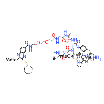 CC[C@H](C)[C@@H]([C@@H](CC(=O)N1CCC[C@H]1[C@H](OC)[C@@H](C)C(=O)N[C@H](CN)Cc1ccc(NC(=O)CNC(=O)[C@H](C)NC(=O)CNC(=O)CCOCCOCCNC(=O)c2ccc3nc(CSC)c(CSC4CCCCCCC4)nc3c2)cc1)OC)N(C)C(=O)CNC(=O)C(C(C)C)N(C)C